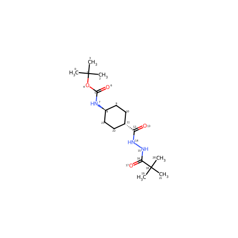 CC(C)(C)OC(=O)N[C@H]1CC[C@H](C(=O)NNC(=O)C(C)(C)C)CC1